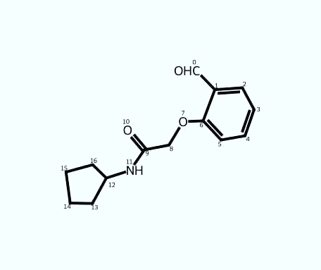 O=Cc1ccccc1OCC(=O)NC1CCCC1